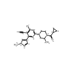 CC1CN(c2nc(Cl)c(C#N)c(-c3cnn(C)c3)n2)CCN1C(=O)C1CC1